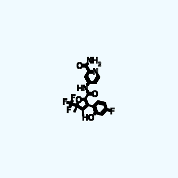 C[C@@H]1[C@H](c2ccc(F)cc2O)[C@H](C(=O)Nc2ccnc(C(N)=O)c2)O[C@@]1(C)C(F)(F)F